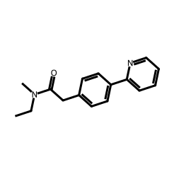 CCN(C)C(=O)Cc1ccc(-c2ccccn2)cc1